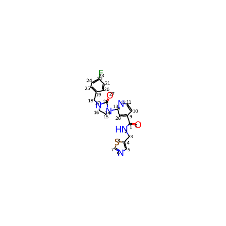 O=C(NCc1cncs1)c1ccnc(N2CCN(Cc3ccc(F)cc3)C2=O)c1